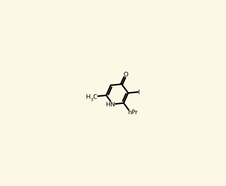 CCCc1[nH]c(C)cc(=O)c1I